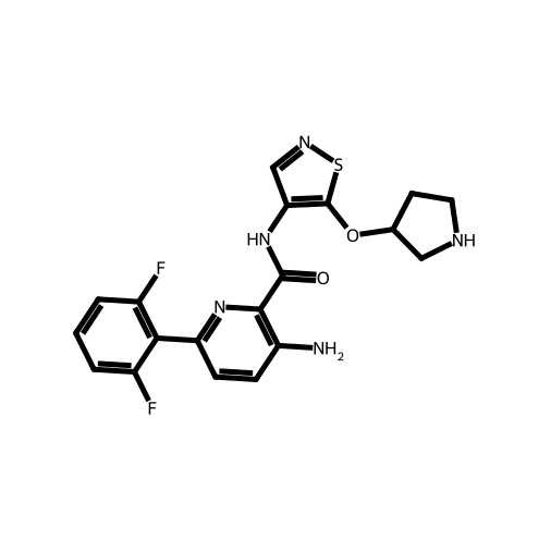 Nc1ccc(-c2c(F)cccc2F)nc1C(=O)Nc1cnsc1OC1CCNC1